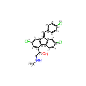 CNCC(O)c1cc(Cl)cc2c1-c1ccc(Cl)cc1/C2=C\c1ccc(Cl)cc1